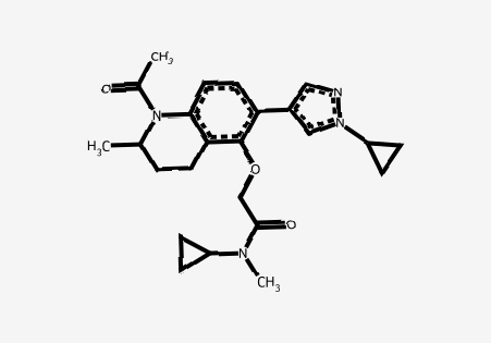 CC(=O)N1c2ccc(-c3cnn(C4CC4)c3)c(OCC(=O)N(C)C3CC3)c2CCC1C